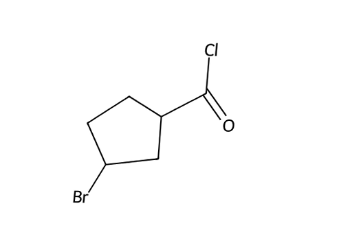 O=C(Cl)C1CCC(Br)C1